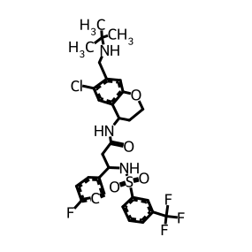 CC(C)(C)NCc1cc2c(cc1Cl)C(NC(=O)CC(NS(=O)(=O)c1cccc(C(F)(F)F)c1)c1ccc(F)cc1)CCO2